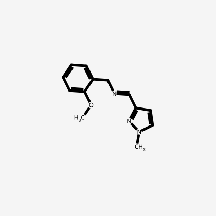 COc1ccccc1CN=Cc1ccn(C)n1